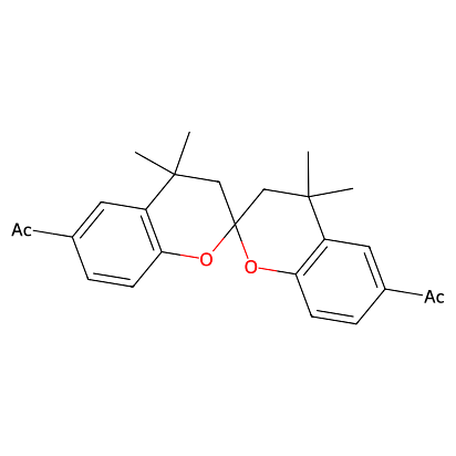 CC(=O)c1ccc2c(c1)C(C)(C)CC1(CC(C)(C)c3cc(C(C)=O)ccc3O1)O2